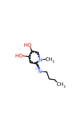 CCCC/N=c1/cc(O)c(O)cn1C